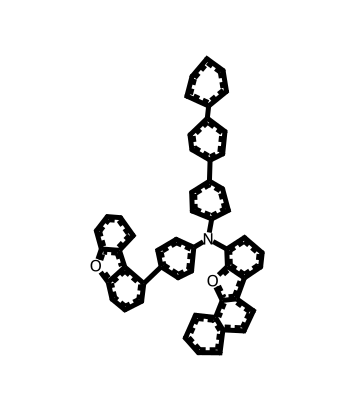 c1ccc(-c2ccc(-c3ccc(N(c4ccc(-c5cccc6oc7ccccc7c56)cc4)c4cccc5c4oc4c6ccccc6ccc54)cc3)cc2)cc1